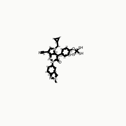 Cn1cc2cc(-n3nc4c(C#N)cn(CC5CC5)c4c(-c4ccc(OC(S)(S)S)cc4)c3=O)ccc2n1